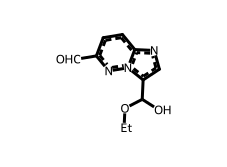 CCOC(O)c1cnc2ccc(C=O)nn12